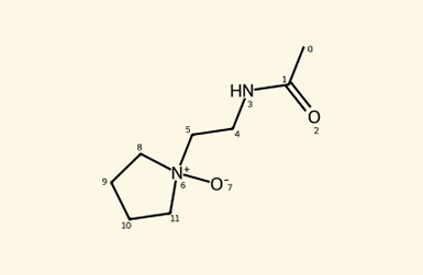 CC(=O)NCC[N+]1([O-])CCCC1